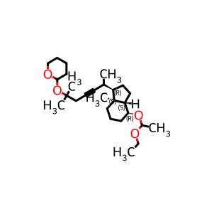 CCOC(C)O[C@@H]1CCC[C@@]2(C)[C@@H](C(C)C#CCC(C)(C)OC3CCCCO3)CC[C@H]12